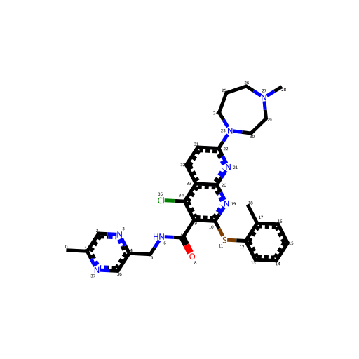 Cc1cnc(CNC(=O)c2c(Sc3ccccc3C)nc3nc(N4CCCN(C)CC4)ccc3c2Cl)cn1